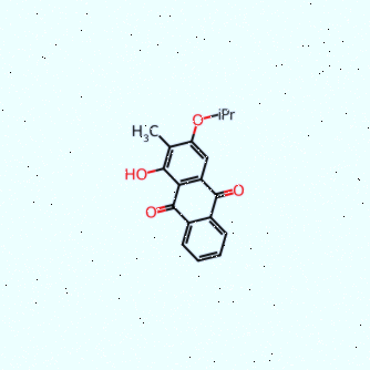 Cc1c(OC(C)C)cc2c(c1O)C(=O)c1ccccc1C2=O